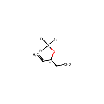 C=C[C@H](CC=O)O[Si](CC)(CC)CC